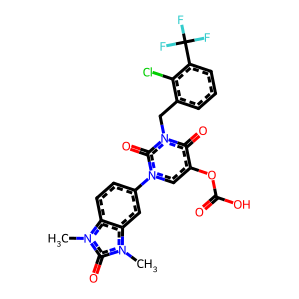 Cn1c(=O)n(C)c2cc(-n3cc(OC(=O)O)c(=O)n(Cc4cccc(C(F)(F)F)c4Cl)c3=O)ccc21